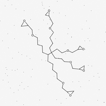 C(CCOCC1CO1)CC[C](CCCCOCC1CO1)C(CCCCOCC1CO1)(CCCOCC1CO1)CCOCC1CO1